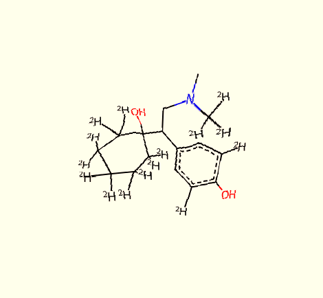 [2H]c1cc(C(CN(C)C([2H])([2H])[2H])C2(O)C([2H])([2H])C([2H])([2H])C([2H])([2H])C([2H])([2H])C2([2H])[2H])cc([2H])c1O